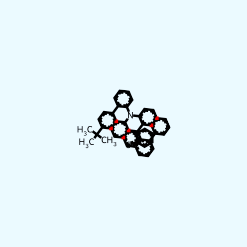 CC(C)(C)c1ccc(-c2ccccc2N(c2ccccc2-c2cccc3cccc(-c4ccccc4)c23)c2cccc3sc4ccccc4c23)cc1